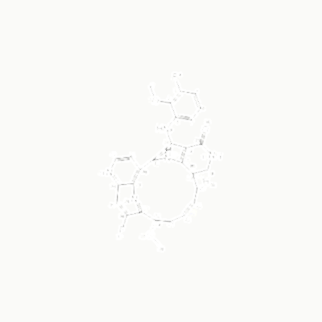 COc1c(F)cccc1Nc1c2[nH]c3c1C(=O)NC[C@H]3C/C=C\C[C@H](OC)c1nc3c-2ccnc3cc1F